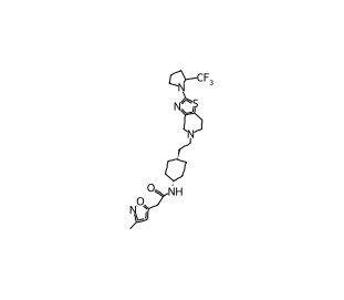 Cc1cc(CC(=O)N[C@H]2CC[C@H](CCN3CCc4sc(N5CCCC5C(F)(F)F)nc4C3)CC2)on1